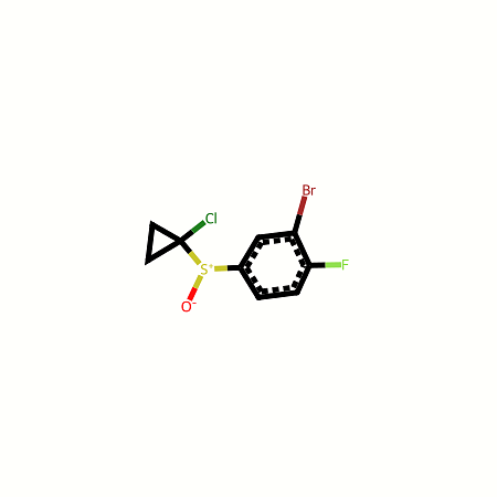 [O-][S+](c1ccc(F)c(Br)c1)C1(Cl)CC1